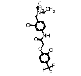 CCN(CC)Cc1ccc(NC(=O)COc2ccc(C(F)(F)F)cc2Cl)cc1Cl